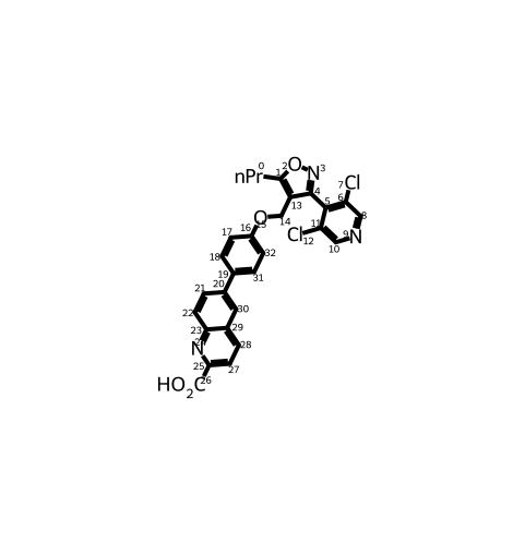 CCCc1onc(-c2c(Cl)cncc2Cl)c1COc1ccc(-c2ccc3nc(C(=O)O)ccc3c2)cc1